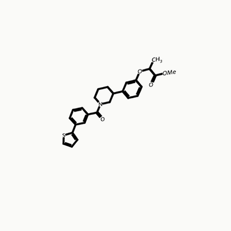 COC(=O)C(C)Oc1cccc(C2CCCN(C(=O)c3cccc(-c4cccs4)c3)C2)c1